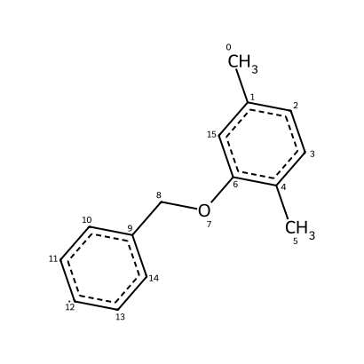 Cc1ccc(C)c(OCc2cc[c]cc2)c1